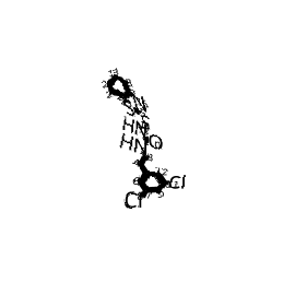 O=C(NCCc1cc(Cl)cc(Cl)c1)NSc1nc2ccccc2s1